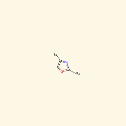 CCc1coc(SC)n1